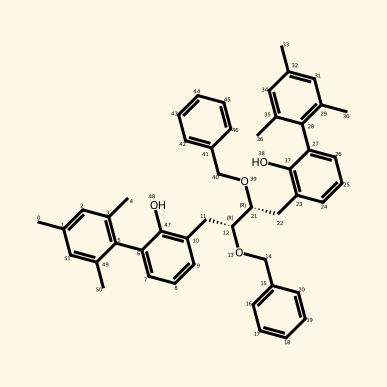 Cc1cc(C)c(-c2cccc(C[C@@H](OCc3ccccc3)[C@@H](Cc3cccc(-c4c(C)cc(C)cc4C)c3O)OCc3ccccc3)c2O)c(C)c1